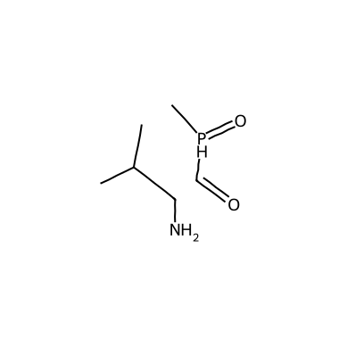 CC(C)CN.C[PH](=O)C=O